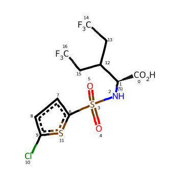 O=C(O)[C@@H](NS(=O)(=O)c1ccc(Cl)s1)C(CC(F)(F)F)CC(F)(F)F